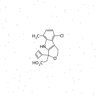 Cc1ccc(Cl)c2c3c([nH]c12)C(CC(=O)O)(C1=CC=C1)OCC3